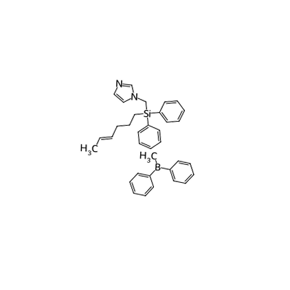 CB(c1ccccc1)c1ccccc1.CC=CCCC[Si](Cn1ccnc1)(c1ccccc1)c1ccccc1